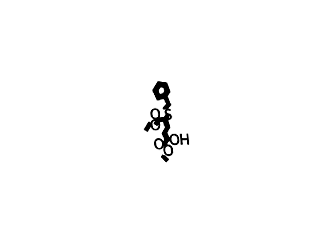 CCOC(=O)C(O)=CC=C(SCCc1ccccc1)C(=O)OCC